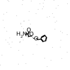 NN1C[C@@H](COCc2ccccc2)OC1=O